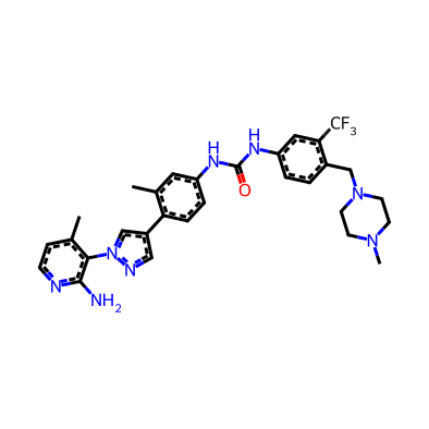 Cc1cc(NC(=O)Nc2ccc(CN3CCN(C)CC3)c(C(F)(F)F)c2)ccc1-c1cnn(-c2c(C)ccnc2N)c1